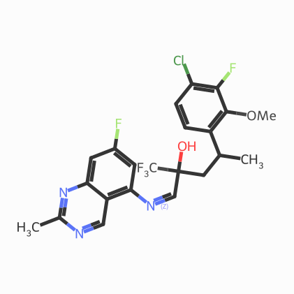 COc1c(C(C)CC(O)(/C=N\c2cc(F)cc3nc(C)ncc23)C(F)(F)F)ccc(Cl)c1F